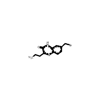 CCCc1nc2ccc(CBr)cc2[nH]c1=O